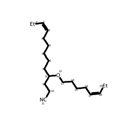 CC/C=C\CCCCCC(CCC#N)OCCCC/C=C\CC